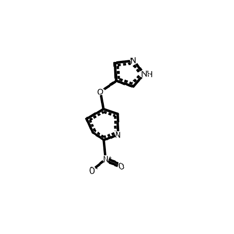 O=[N+]([O-])c1ccc(Oc2cn[nH]c2)cn1